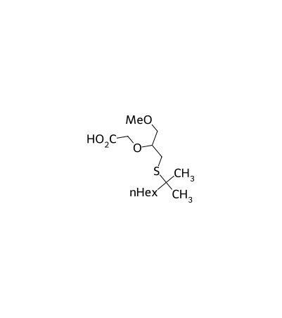 CCCCCCC(C)(C)SCC(COC)OCC(=O)O